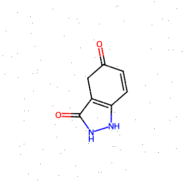 O=C1C=Cc2[nH][nH]c(=O)c2C1